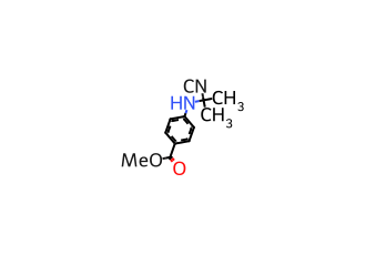 COC(=O)c1ccc(NC(C)(C)C#N)cc1